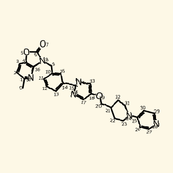 Cc1ccc2oc(=O)n(Cc3cccc(-c4ncc(OCC5CCN(c6ccncc6)CC5)cn4)c3)c2n1